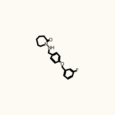 O=C1CCCCCN1NCc1ccc(OCc2cccc(F)c2)cc1